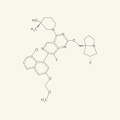 COCOc1cc(-c2ncc3c(N4CCC[C@@](C)(O)C4)nc(OC[C@@]45CCCN4C[C@H](F)C5)nc3c2F)c2c(Cl)cccc2c1